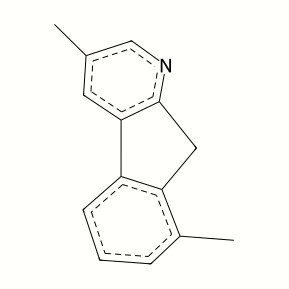 Cc1cnc2c(c1)-c1cccc(C)c1C2